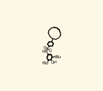 CC(C)(C)c1cc(NS(=O)(=O)c2ccc(C3CCCCCCCCCCC3)cc2)cc(C(C)(C)C)c1O